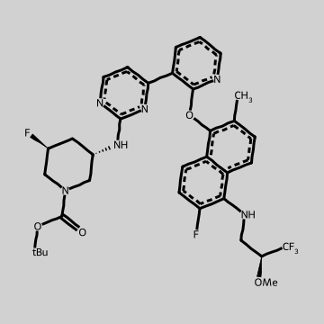 CO[C@@H](CNc1c(F)ccc2c(Oc3ncccc3-c3ccnc(N[C@H]4C[C@H](F)CN(C(=O)OC(C)(C)C)C4)n3)c(C)ccc12)C(F)(F)F